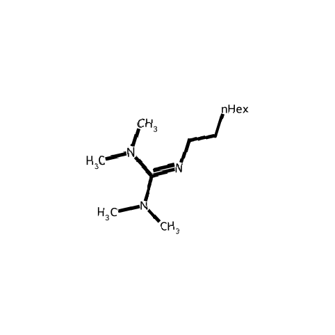 CCCCCCCCN=C(N(C)C)N(C)C